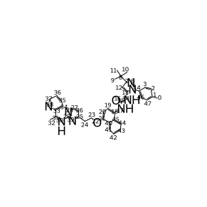 Cc1ccc(-n2nc(C(C)(C)C)cc2NC(=O)Nc2ccc(OCCc3ccnc(NC(C)c4ccccn4)n3)c3ccccc23)cc1